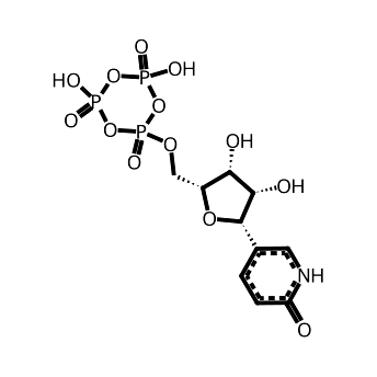 O=c1ccc([C@@H]2O[C@H](COP3(=O)OP(=O)(O)OP(=O)(O)O3)[C@H](O)[C@@H]2O)c[nH]1